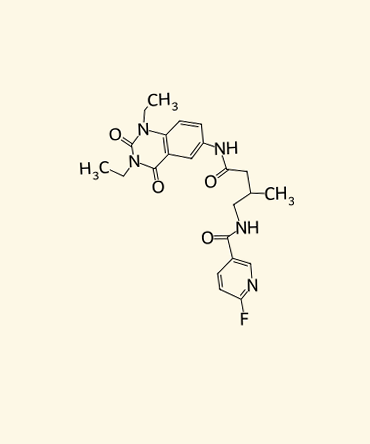 CCn1c(=O)c2cc(NC(=O)CC(C)CNC(=O)c3ccc(F)nc3)ccc2n(CC)c1=O